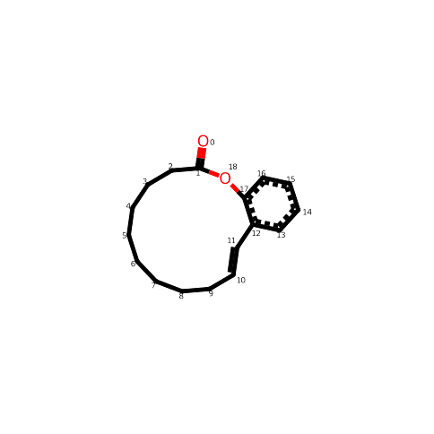 O=C1CCCCCCCC/C=C/c2ccccc2O1